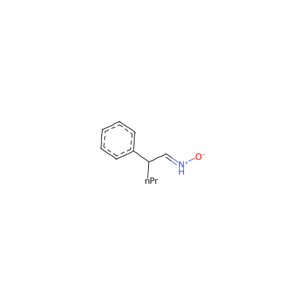 CCCC(C=[NH+][O-])c1ccccc1